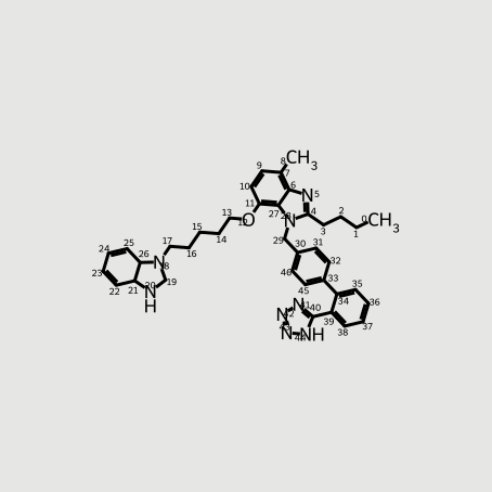 CCCCc1nc2c(C)ccc(OCCCCCN3CNC4C=CC=CC43)c2n1Cc1ccc(-c2ccccc2-c2nnn[nH]2)cc1